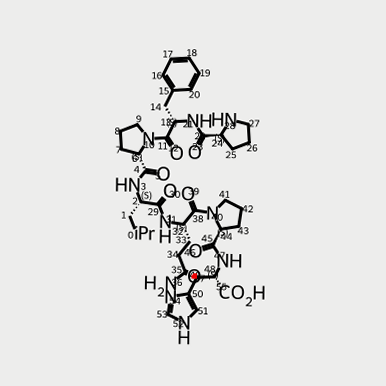 CC(C)C[C@H](NC(=O)[C@@H]1CCCN1C(=O)[C@H](Cc1ccccc1)NC(=O)[C@@H]1CCCN1)C(=O)N[C@@H](CCC(N)=O)C(=O)N1CCC[C@H]1C(=O)N[C@@H](Cc1c[nH]cn1)C(=O)O